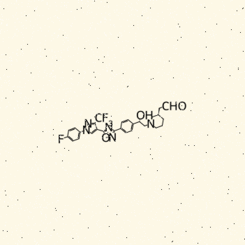 O=CC[C@H]1CCCN(C[C@@H](O)c2ccc(-c3noc(-c4cn(-c5ccc(F)cc5)nc4C(F)(F)F)n3)cc2)C1